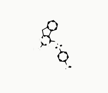 Nc1nc2c(c(OS(=O)(=O)c3ccc([N+](=O)[O-])cc3)n1)-c1ccccc1C2